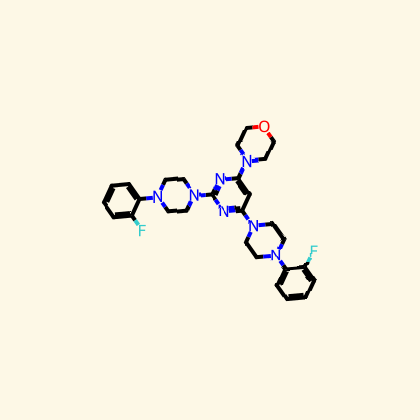 Fc1ccccc1N1CCN(c2cc(N3CCOCC3)nc(N3CCN(c4ccccc4F)CC3)n2)CC1